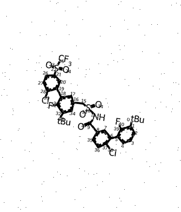 CC(C)(C)c1cccc(-c2cc(C(=O)NS(=O)(=O)Cc3cc(-c4cc(S(=O)(=O)C(F)(F)F)ccc4Cl)c(F)c(C(C)(C)C)c3)ccc2Cl)c1F